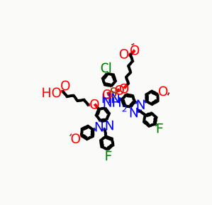 COC(=O)CCCCCOc1cc2c(cc1NS(=O)(=O)c1ccc(Cl)cc1)nc(-c1ccc(F)cc1)n2-c1ccc(OC)cc1.COc1ccc(-n2c(-c3ccc(F)cc3)nc3cc(N)c(OCCCCCC(=O)O)cc32)cc1